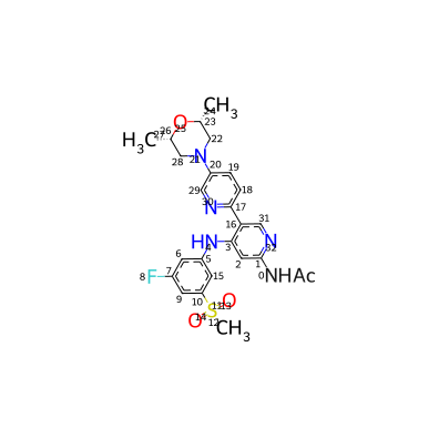 CC(=O)Nc1cc(Nc2cc(F)cc(S(C)(=O)=O)c2)c(-c2ccc(N3C[C@@H](C)O[C@@H](C)C3)cn2)cn1